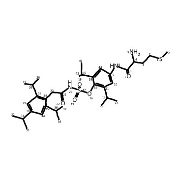 CSCCC(N)C(=O)Nc1cc(C(C)C)c(OS(=O)(=O)NC(=O)Cc2c(C(C)C)cc(C(C)C)cc2C(C)C)c(C(C)C)c1